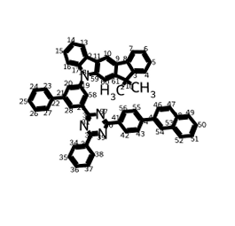 CC1(C)c2ccccc2-c2cc3c4ccccc4n(-c4cc(-c5ccccc5)cc(-c5nc(-c6ccccc6)nc(-c6ccc(-c7ccc8ccccc8c7)cc6)n5)c4)c3cc21